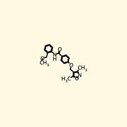 COCc1ccccc1NC(=O)c1ccc(OCc2c(C)noc2C)cc1